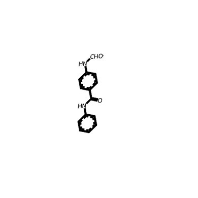 O=[C]Nc1ccc(C(=O)Nc2ccccc2)cc1